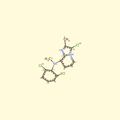 Cc1nc2c(N(C)c3c(Cl)cccc3Cl)cccn2c1Cl